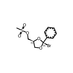 CS(=O)(=O)OC[C@@H]1CO[C@@](Br)(c2ccccc2)O1